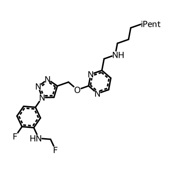 CCCC(C)CCCNCc1ccnc(OCc2cn(-c3ccc(F)c(NCF)c3)nn2)n1